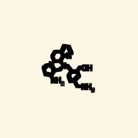 NCc1ccc(CN(Cc2ncccc2N)C2CCCc3cccnc32)c(CO)c1